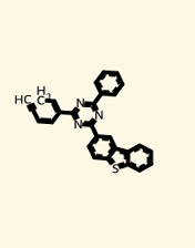 C#C/C=C\C(=C/C)c1nc(-c2ccccc2)nc(-c2ccc3sc4ccccc4c3c2)n1